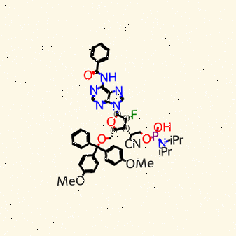 COc1ccc(C(OC[C@@H]2O[C@@H](n3cnc4c(NC(=O)c5ccccc5)ncnc43)[C@H](F)[C@@H]2C(C#N)COP(O)N(C(C)C)C(C)C)(c2ccccc2)c2ccc(OC)cc2)cc1